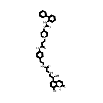 O=C(CNC[C@@H](O)c1ccc(O)c2[nH]c(=O)ccc12)NCCc1ccc(NC(=O)CCN2CCC(OC(=O)Nc3ccccc3-c3ccccc3)CC2)cc1